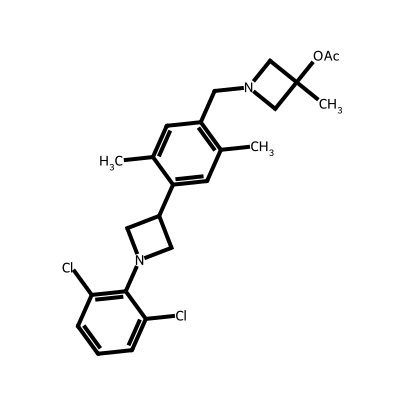 CC(=O)OC1(C)CN(Cc2cc(C)c(C3CN(c4c(Cl)cccc4Cl)C3)cc2C)C1